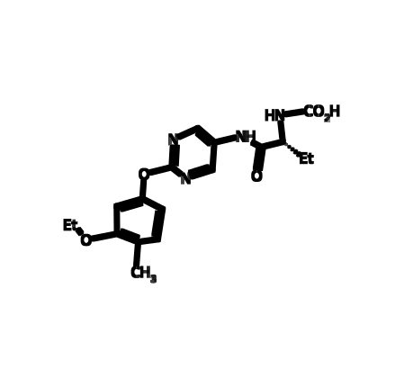 CCOc1cc(Oc2ncc(NC(=O)[C@@H](CC)NC(=O)O)cn2)ccc1C